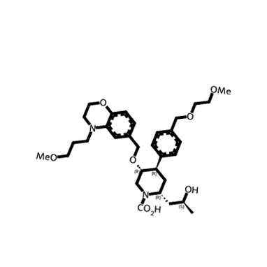 COCCCN1CCOc2ccc(CO[C@H]3CN(C(=O)O)[C@@H](C[C@H](C)O)C[C@@H]3c3ccc(COCCOC)cc3)cc21